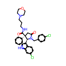 O=C1C[C@@](C(=O)NCCCN2CCOCC2)(c2ccccc2)[C@H](c2c[nH]c3cc(Cl)ccc23)N1Cc1ccc(Cl)cc1